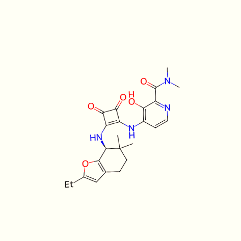 CCc1cc2c(o1)[C@@H](Nc1c(Nc3ccnc(C(=O)N(C)C)c3O)c(=O)c1=O)C(C)(C)CC2